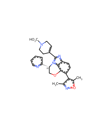 Cc1noc(C)c1-c1ccc2nc(C3=CCN(C(=O)O)CC3)n3c2c1OC[C@@H]3c1ccccn1